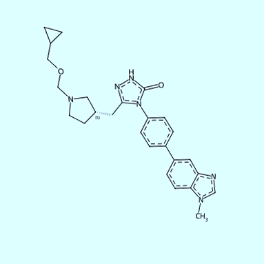 Cn1cnc2cc(-c3ccc(-n4c(C[C@@H]5CCN(COCC6CC6)C5)n[nH]c4=O)cc3)ccc21